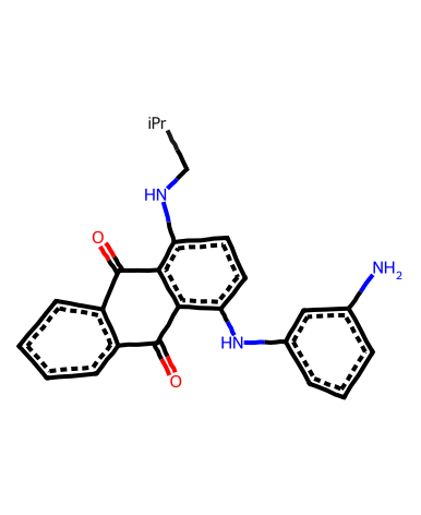 CC(C)CNc1ccc(Nc2cccc(N)c2)c2c1C(=O)c1ccccc1C2=O